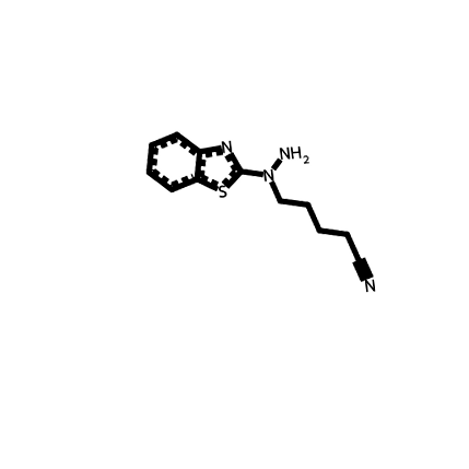 N#CCCCCN(N)c1nc2ccccc2s1